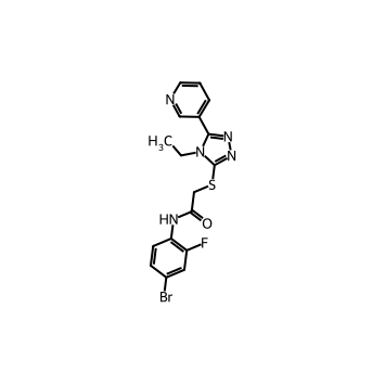 CCn1c(SCC(=O)Nc2ccc(Br)cc2F)nnc1-c1cccnc1